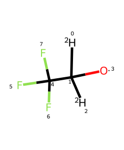 [2H]C([2H])([O])C(F)(F)F